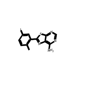 Cc1ccc(I)cc1-c1nc2c(N)ncnc2s1